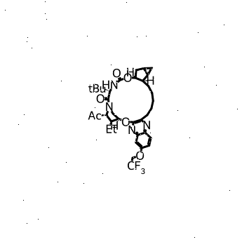 CC[C@@H]1[C@@H]2CN(C(=O)[C@H](C(C)(C)C)NC(=O)O[C@@H]3CC4CC4[C@H]3CCCCCc3nc4ccc(OCC(F)(F)F)cc4nc3O2)[C@@H]1C(C)=O